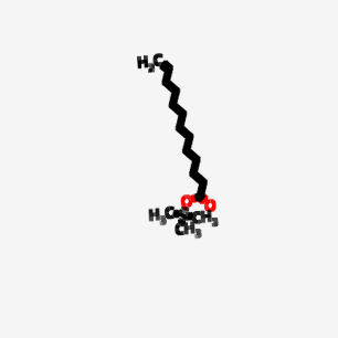 C=CCCCCCCCCCCC(=O)O[Si](C)(C)C